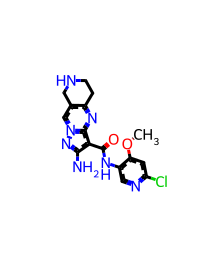 COc1cc(Cl)ncc1NC(=O)c1c(N)nn2cc3c(nc12)CCNC3